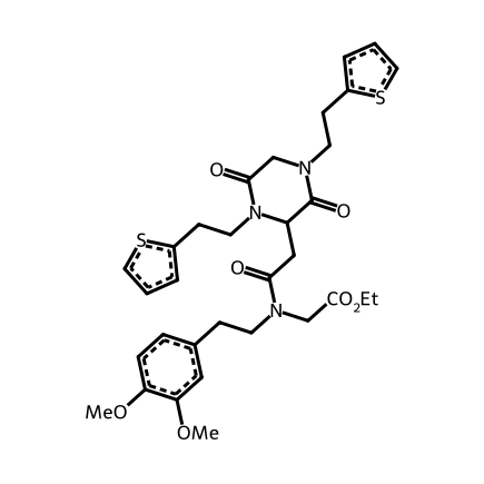 CCOC(=O)CN(CCc1ccc(OC)c(OC)c1)C(=O)CC1C(=O)N(CCc2cccs2)CC(=O)N1CCc1cccs1